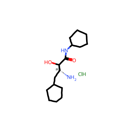 Cl.N[C@H](CC1CCCCC1)C(O)C(=O)NC1CCCCC1